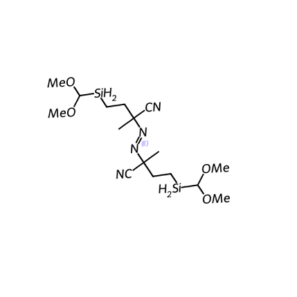 COC(OC)[SiH2]CCC(C)(C#N)/N=N/C(C)(C#N)CC[SiH2]C(OC)OC